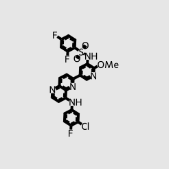 COc1ncc(-c2ccc3nccc(Nc4ccc(F)c(Cl)c4)c3n2)cc1NS(=O)(=O)c1ccc(F)cc1F